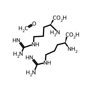 C=O.N=C(N)NCCC[C@H](N)C(=O)O.N=C(N)NCCC[C@H](N)C(=O)O